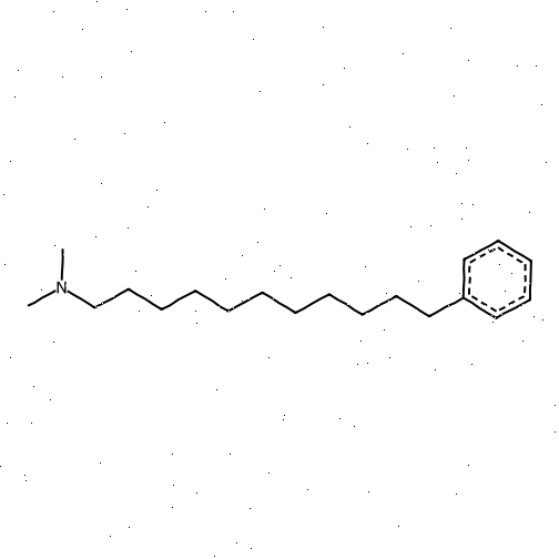 CN(C)CCCCCCCCCCCc1ccccc1